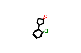 O=C1CCC(c2ccccc2Cl)C1